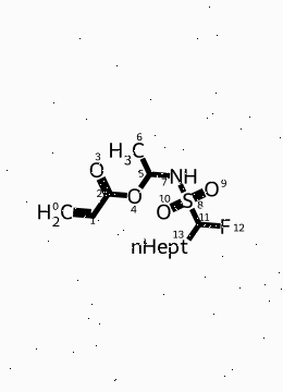 C=CC(=O)OC(C)NS(=O)(=O)C(F)CCCCCCC